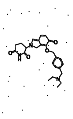 CCN(CC)Cc1ccc(COC2=C3CN(C4CCC(=O)NC4=O)C=C3C=CC2=O)cc1